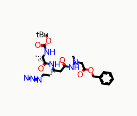 C[C@H](NC(=O)OC(C)(C)C)C(=O)N[C@@H](CCN=[N+]=[N-])CC(=O)NN(C)CC(=O)OCc1ccccc1